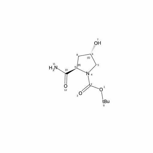 CC(C)(C)OC(=O)N1C[C@@H](O)C[C@@H]1C(N)=O